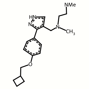 CNCCN(C)Cc1c[nH]nc1-c1ccc(OCC2CCC2)cc1